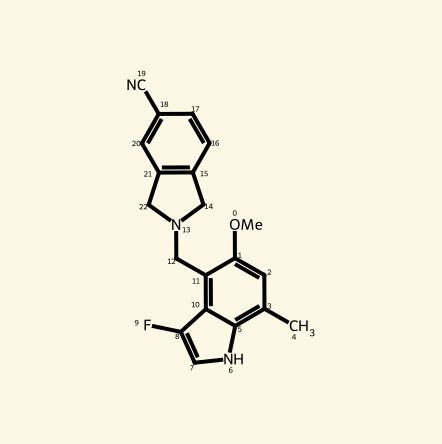 COc1cc(C)c2[nH]cc(F)c2c1CN1Cc2ccc(C#N)cc2C1